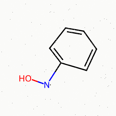 O[N]c1ccccc1